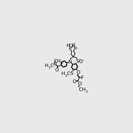 CCCCC1(CCCC)CN(c2ccc(C(=O)N(C)C)cc2)c2cc(SC)c(O/C=C(\F)C(=O)OCC)cc2[S+]([O-])C1